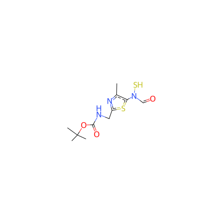 Cc1nc(CNC(=O)OC(C)(C)C)sc1N(S)C=O